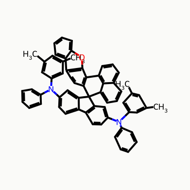 Cc1cc(C)cc(N(c2ccccc2)c2ccc3c(c2)C2(c4cc(N(c5ccccc5)c5cc(C)cc(C)c5)ccc4-3)c3ccc4c(oc5ccccc54)c3-c3cccc4cccc2c34)c1